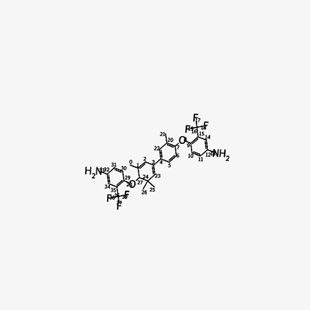 CC1=CC(c2ccc(Oc3ccc(N)cc3C(F)(F)F)c(C)c2)=CC(C)(C)C1Oc1ccc(N)cc1C(F)(F)F